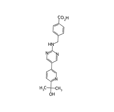 CC(C)(O)c1ccc(-c2cnc(NCc3ccc(C(=O)O)cc3)nc2)cn1